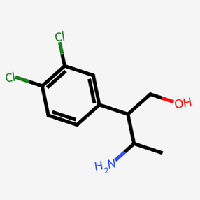 CC(N)C(CO)c1ccc(Cl)c(Cl)c1